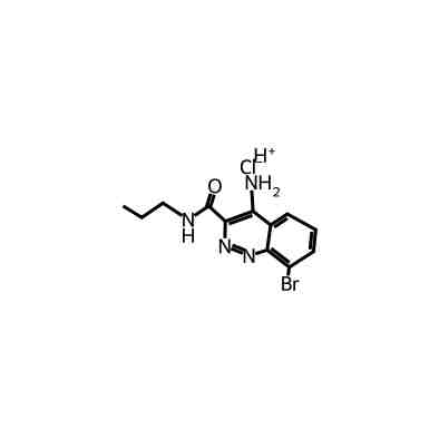 CCCNC(=O)c1nnc2c(Br)cccc2c1N.[Cl-].[H+]